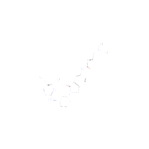 COc1nc(N[C@@H]2CCC[C@H](N3Cc4ccc(NC(=O)C=CCN(C)C)cc4C3=O)C2)ncc1C#N